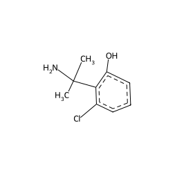 CC(C)(N)c1c(O)cccc1Cl